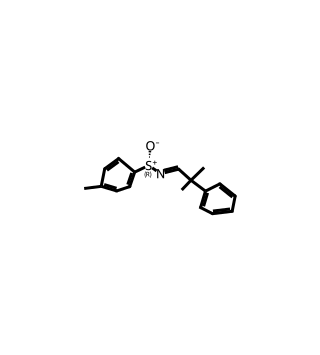 Cc1ccc([S@+]([O-])N=CC(C)(C)c2ccccc2)cc1